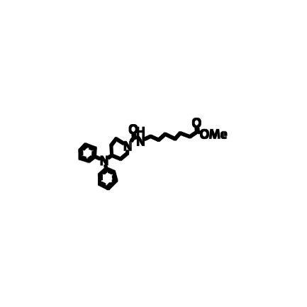 COC(=O)CCCCCCNC(=O)N1CCC(N(c2ccccc2)c2ccccc2)CC1